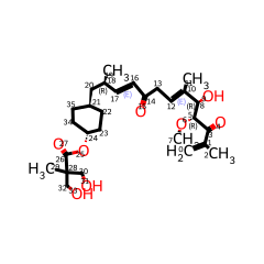 C=C(C)C(=O)[C@H](OC)[C@H](O)/C(C)=C/CC(=O)/C=C/[C@H](C)C[C@H]1CC[C@H](OC(=O)C(C)(CO)CO)CC1